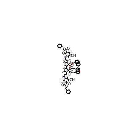 CC1=C(C#N)C(=O)N(C(=O)OCc2ccccc2)C(=O)/C1=N/c1cc2c(s1)-c1sc3c(c1C2(C(=O)OCc1ccccc1)C(=O)OCc1ccccc1)C(C(=O)OCc1ccccc1)(C(=O)OCc1ccccc1)c1cc(/N=C2/C(=O)N(C(=O)OCc4ccccc4)C(=O)C(C#N)=C2C)sc1-3